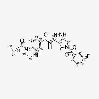 O=C(Nc1n[nH]c2c1CN(S(=O)(=O)c1cccc(F)c1)C2)c1ccc2c(c1)NCCN2C(=O)C1CC1